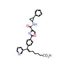 O=C(O)CCCC/C=C(\c1ccc(-c2nc(C(=O)NC3CC3c3ccccc3)co2)cc1)c1cccnc1